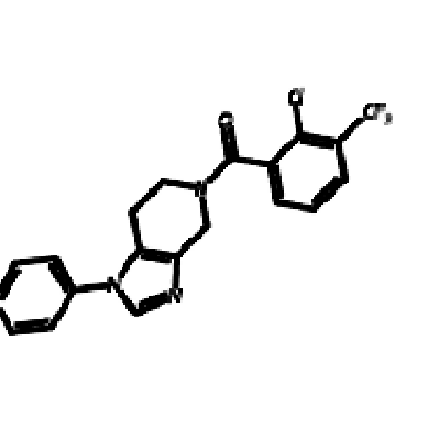 O=C(c1cccc(C(F)(F)F)c1Cl)N1CCc2c(ncn2-c2ccccc2)C1